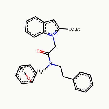 CCOC(=O)c1cc2ccccc2n1CC(=O)N(C)CCc1ccccc1.c1cc2ccc1CO2